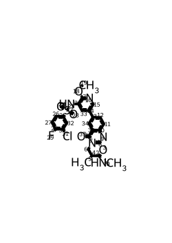 CNC(=O)C(C)Cn1cnc2ccc(-c3cnc(OC)c(NS(=O)(=O)c4ccc(F)c(Cl)c4)c3)cc2c1=O